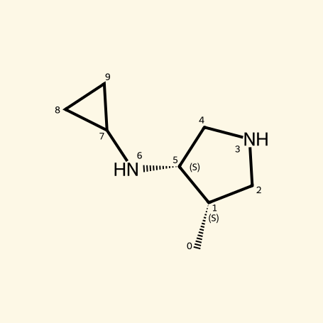 C[C@H]1CNC[C@H]1NC1CC1